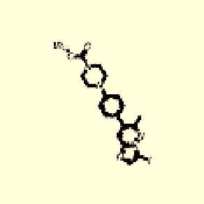 Cc1nn2c(I)cnc2cc1-c1ccc(N2CCN(C(=O)OC(C)(C)C)CC2)cc1